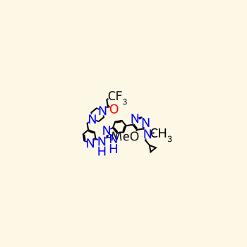 COc1c(-c2ccc3nc(Nc4cc(CN5CCN(C(=O)CC(F)(F)F)CC5)ccn4)[nH]c3c2)ncnc1N(C)CC1CC1